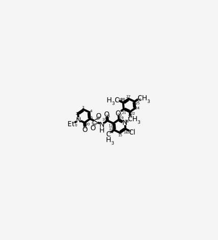 CCn1cccc(S(=O)(=O)NC(=O)c2c(C)cc(Cl)nc2Oc2c(C)cc(C)cc2C)c1=O